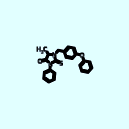 CC1C(=O)N(c2ccccc2)C(=S)N1Cc1ccc(Oc2ccccc2)cc1